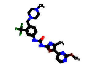 CSc1nccc(-c2sc(NC(=O)Nc3ccc(CN4CCN(C)CC4)c(C(F)(F)F)c3)nc2C)n1